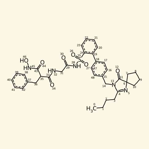 CCCCC1=NC2(CCCC2)C(=O)N1Cc1ccc(-c2ccccc2S(=O)(=O)NC(=O)CNC(=O)C(Cc2ccccc2)C(=O)NO)cc1